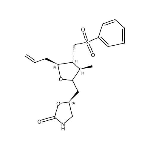 C=CC[C@@H]1OC(C[C@H]2CNC(=O)O2)[C@H](C)[C@H]1CS(=O)(=O)c1ccccc1